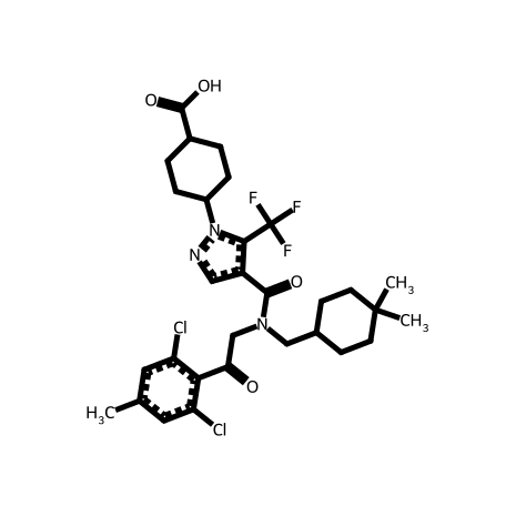 Cc1cc(Cl)c(C(=O)CN(CC2CCC(C)(C)CC2)C(=O)c2cnn(C3CCC(C(=O)O)CC3)c2C(F)(F)F)c(Cl)c1